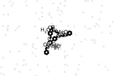 COCCCN1C(=O)C(C)(C)c2ccc(COC3CN(C(=O)OCc4ccccc4)CC(O[Si](C(C)C)(C(C)C)C(C)C)C3c3ccc(OCCCOCc4ccccc4OC)cc3)cc21